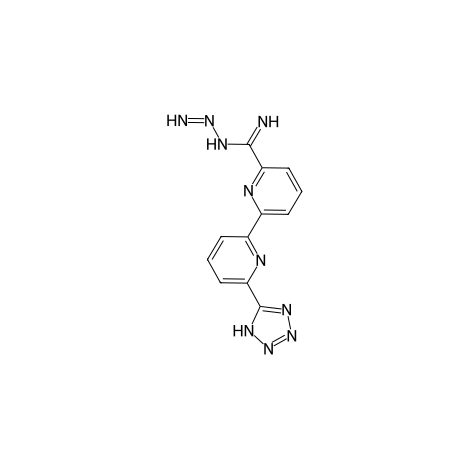 N=NNC(=N)c1cccc(-c2cccc(-c3nnn[nH]3)n2)n1